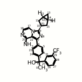 C[C@@](O)(c1ccc(-c2nc([C@H]3C[C@@H]4C[C@@H]4C3)n3ccnc(N)c23)cc1)c1cccc(C(F)(F)F)c1